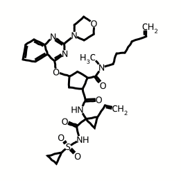 C=CCCCCN(C)C(=O)C1CC(Oc2nc(N3CCOCC3)nc3ccccc23)CC1C(=O)NC1(C(=O)NS(=O)(=O)C2CC2)CC1C=C